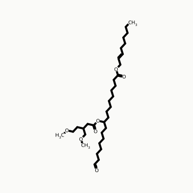 CCCCCC/C=C/COC(=O)CCCCCCCCC(CCCCCCCC=O)OC(=O)CC(CCOC)COC